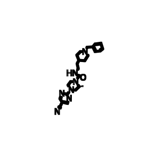 C[C@@H]1CN(c2ncc(C#N)cn2)CCN1C(=O)NCCC1CCN(Cc2ccccc2)CC1